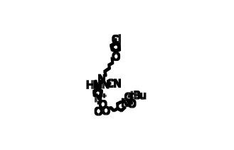 CC(C)(C)OC(=O)N1CCC(CCOC(=O)OC[n+]2ccc(NC(=NCCCCCCOc3ccc(Cl)cc3)NC#N)cc2)CC1